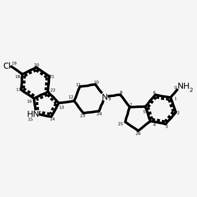 Nc1ccc2c(c1)C(CN1CCC(c3c[nH]c4cc(Cl)ccc34)CC1)CC2